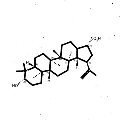 C=C(C)[C@@H]1C[C@@H](C(=O)O)C2CC[C@]3(C)[C@H](CC[C@@H]4[C@@]5(C)CC[C@H](O)C(C)(C)[C@@H]5CC[C@]43C)[C@H]21